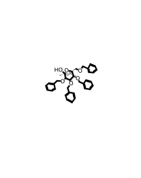 C[C@]1(O)O[C@H](COCc2ccccc2)[C@@H](OCc2ccccc2)[C@H](OCc2ccccc2)[C@H]1OCc1ccccc1